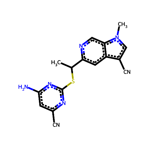 CC(Sc1nc(N)cc(C#N)n1)c1cc2c(C#N)cn(C)c2cn1